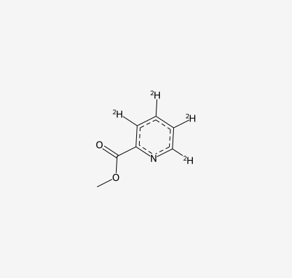 [2H]c1nc(C(=O)OC)c([2H])c([2H])c1[2H]